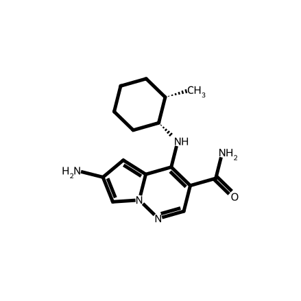 C[C@H]1CCCC[C@H]1Nc1c(C(N)=O)cnn2cc(N)cc12